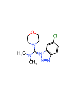 CN(C)C(N1CCOCC1)=[N+]1N=Nc2ccc(Cl)cc21